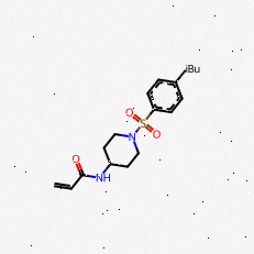 C=CC(=O)NC1CCN(S(=O)(=O)c2ccc(C(C)CC)cc2)CC1